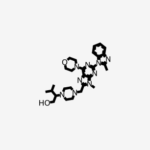 Cc1nc2ccccc2n1-c1nc(N2CCOCC2)c2nc(CN3CCN(C(CO)C(C)C)CC3)n(C)c2n1